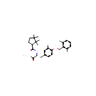 COC(=O)[C@H](Cc1ccc(OCc2c(Cl)cccc2Cl)c([N+](=O)[O-])c1)NC(=O)C1CCC(C)(C(=O)O)C1(C)C